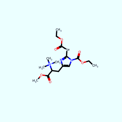 CCOC(=O)[Se]c1nc(CC(C(=O)OC)[N+](C)(C)C)cn1C(=O)OCC